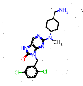 CN(c1ncc2[nH]c(=O)n(Cc3cc(Cl)ccc3Cl)c2n1)[C@H]1CC[C@H](CN)CC1